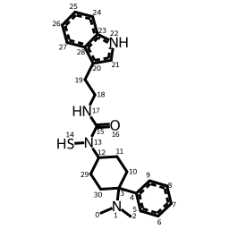 CN(C)C1(c2ccccc2)CCC(N(S)C(=O)NCCc2c[nH]c3ccccc23)CC1